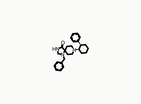 O=C1NCN(Cc2ccccc2)C12CCN([C@@H]1CCCC[C@@H]1c1ccccc1)CC2